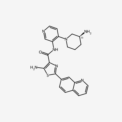 Nc1sc(-c2ccc3cccnc3c2)nc1C(=O)Nc1cnccc1N1CCC[C@H](N)C1